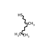 CN(C)CCCCN(C)CCCCS